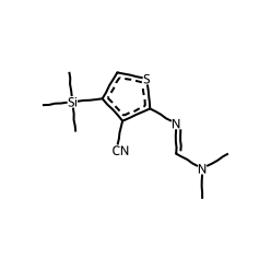 CN(C)C=Nc1scc([Si](C)(C)C)c1C#N